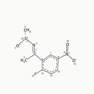 C/C(=N\[S@@+](C)[O-])c1cc([N+](=O)[O-])ccc1F